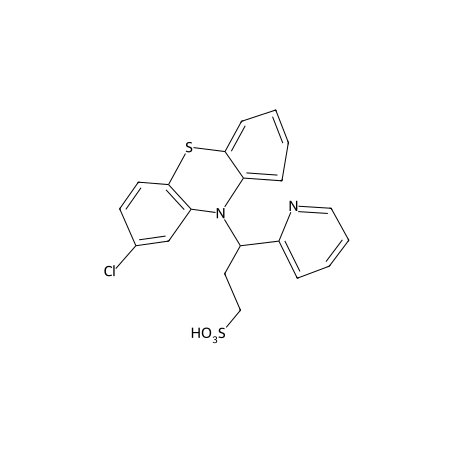 O=S(=O)(O)CCC(c1ccccn1)N1c2ccccc2Sc2ccc(Cl)cc21